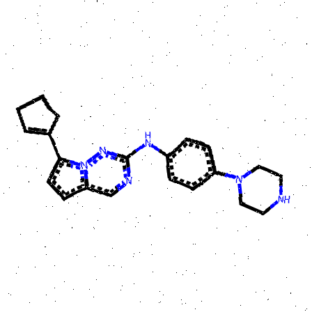 C1=C(c2ccc3cnc(Nc4ccc(N5CCNCC5)cc4)nn23)CCC1